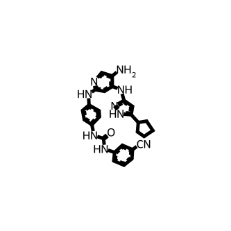 N#Cc1cccc(NC(=O)Nc2ccc(Nc3cc(Nc4cc(C5CCCC5)[nH]n4)c(N)cn3)cc2)c1